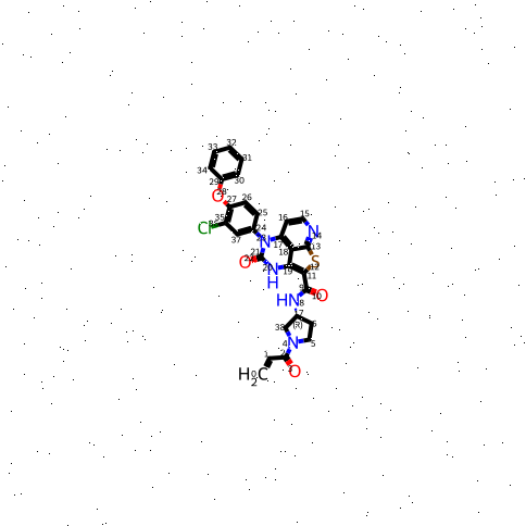 C=CC(=O)N1CC[C@@H](NC(=O)c2sc3nccc4c3c2NC(=O)N4c2ccc(Oc3ccccc3)c(Cl)c2)C1